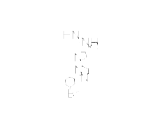 Cn1c2c(c3c1-c1nc(-c4cccc(Br)c4)ncc1CC3)C(=O)NC1(CNC1)C2